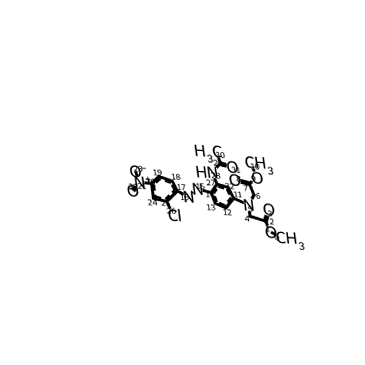 COC(=O)CN(CC(=O)OC)c1ccc(N=Nc2ccc([N+](=O)[O-])cc2Cl)c(NC(C)=O)c1